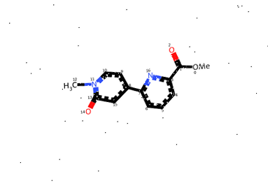 COC(=O)c1cccc(-c2ccn(C)c(=O)c2)n1